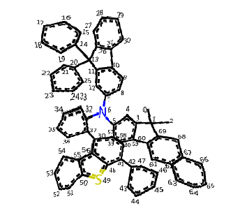 CC1(C)c2cc(N(c3ccc4c(c3)C(c3ccccc3)(c3ccccc3)c3ccccc3-4)c3ccccc3-c3ccc(-c4ccccc4)c4sc5ccccc5c34)ccc2-c2cc3ccccc3cc21